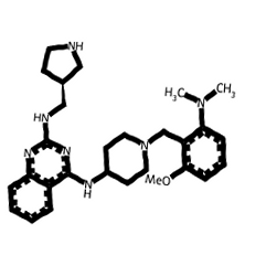 COc1cccc(N(C)C)c1CN1CCC(Nc2nc(NC[C@H]3CCNC3)nc3ccccc23)CC1